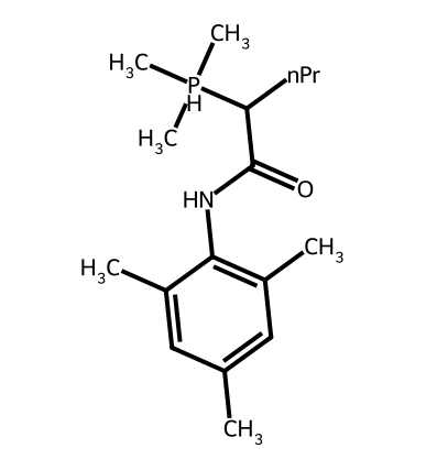 CCCC(C(=O)Nc1c(C)cc(C)cc1C)[PH](C)(C)C